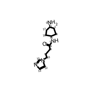 N[C@H]1CC[C@H](NC(=O)CCCn2ccnc2)CC1